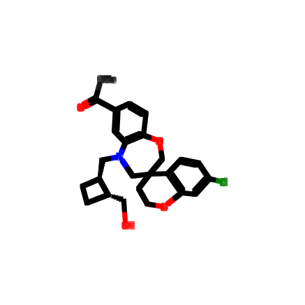 COC(=O)c1ccc2c(c1)N(C[C@@H]1CC[C@H]1CO)CC1(CCOc3cc(Cl)ccc31)CO2